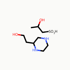 CC(O)CS(=O)(=O)O.OCCC1CNCCN1